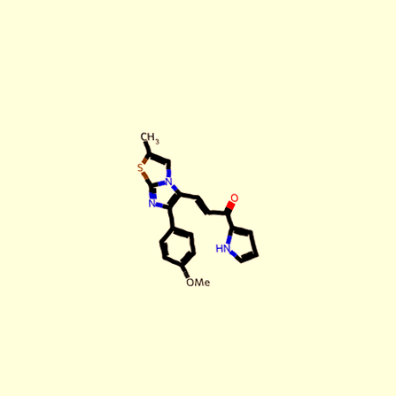 COc1ccc(-c2nc3sc(C)cn3c2/C=C/C(=O)c2ccc[nH]2)cc1